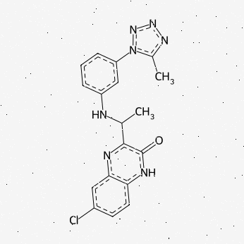 Cc1nnnn1-c1cccc(NC(C)c2nc3cc(Cl)ccc3[nH]c2=O)c1